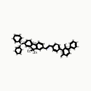 CCC1(CC)c2cc(/C=C/c3ccc(-c4c(C)ccc(-c5ccccc5)c4C)cc3)ccc2-c2ccc(N(c3ccccc3)c3ccccc3)cc21